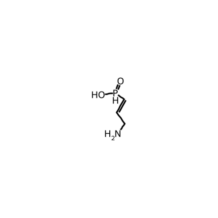 NC/C=C/[PH](=O)O